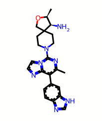 Cc1nc(N2CCC3(CC2)CO[C@@H](C)[C@H]3N)n2ccnc2c1-c1ccc2nc[nH]c2c1